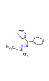 CCOC(=O)C/C(=N/N=C(c1ccccc1)c1ccccc1)C(F)(F)F